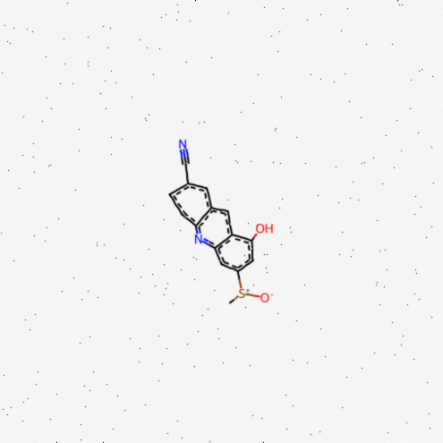 C[S+]([O-])c1cc(O)c2cc3cc(C#N)ccc3nc2c1